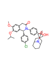 COc1cc2c(cc1OC(C)C)[C@H](c1ccc(Cl)cc1)N(c1ccc(C(C)(O)C3CC4CCCC(C3)N4C3COC3)cc1)C(=O)C2